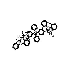 CC(C)(C)c1ccc([Si](c2ccccc2)(c2ccccc2)c2ccc(C(C)(C)C)c(-c3cccc4c3sc3nc5ccccc5n34)c2)cc1-c1cccc2c1Oc1ccccc1O2